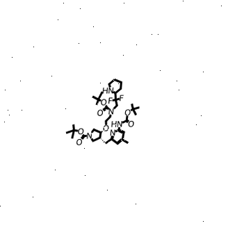 Cc1cc(C[C@@H]2CN(C(=O)OC(C)(C)C)C[C@@H]2OCCN(CC(F)(F)C2CCCCN2)C(=O)OC(C)(C)C)nc(NC(=O)OC(C)(C)C)c1